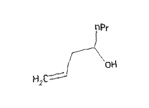 C=CCC(O)CCC